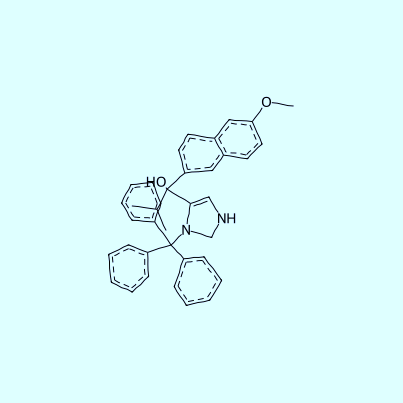 COc1ccc2cc(C(O)(C3=CNCN3C(c3ccccc3)(c3ccccc3)c3ccccc3)C(C)C)ccc2c1